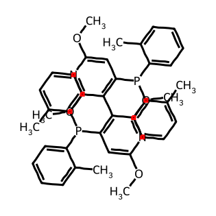 COc1cc(P(c2ccccc2C)c2ccccc2C)c(-c2c(P(c3ccccc3C)c3ccccc3C)cc(OC)nc2OC)c(OC)n1